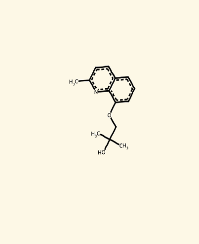 Cc1ccc2cccc(OCC(C)(C)O)c2n1